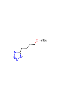 CCCCOCCCCC1=NN=N[N]1